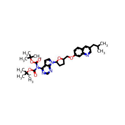 CC(C)Cc1cnc2cc(OCC3CCC(n4ccc5c(N(C(=O)OC(C)(C)C)C(=O)OC(C)(C)C)ncnc54)O3)ccc2c1